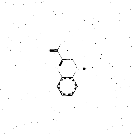 O=C(O)C1=Nc2ccccc2[N+](=O)C1